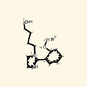 CCCCCCCCCCCCCC[n+]1cc[nH]c1-c1ccccc1OCC.[Br-]